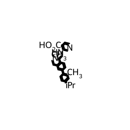 Cc1cc(C(C)C)ccc1-c1ccc2c(c1)CCN(C)C2CNc1cnccc1C(=O)O